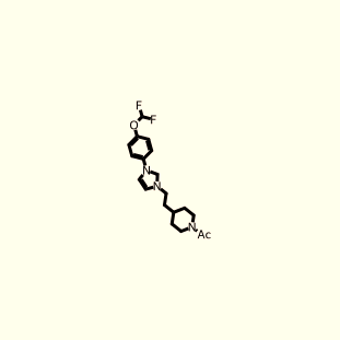 CC(=O)N1CCC(CCN2C=CN(c3ccc(OC(F)F)cc3)C2)CC1